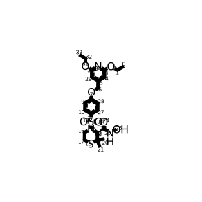 CCOc1cc(COc2ccc(S(=O)(=O)N3CCSC(C)(C)[C@@H]3C(=O)NO)cc2)cc(OCC)n1